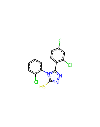 Sc1nnc(-c2ccc(Cl)cc2Cl)n1-c1ccccc1Cl